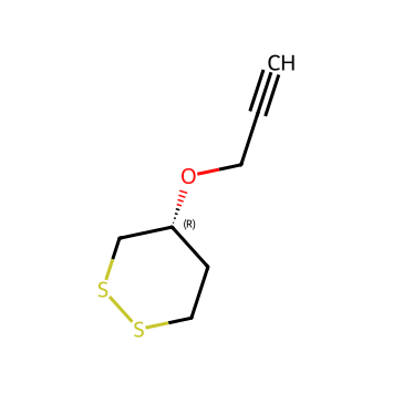 C#CCO[C@@H]1CCSSC1